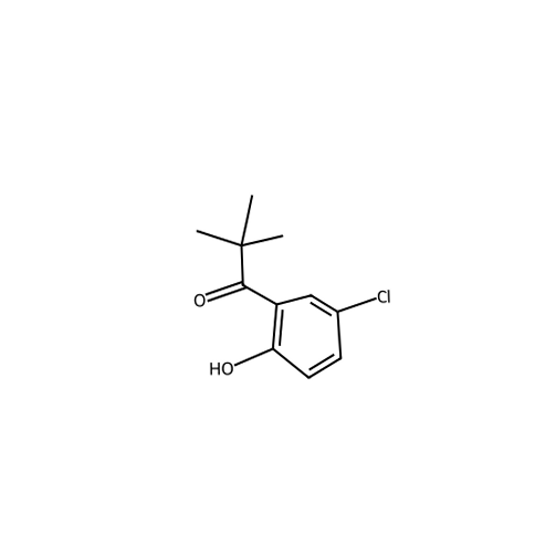 CC(C)(C)C(=O)c1cc(Cl)ccc1O